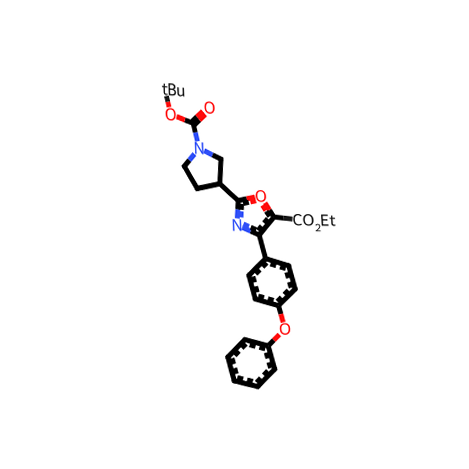 CCOC(=O)c1oc(C2CCN(C(=O)OC(C)(C)C)C2)nc1-c1ccc(Oc2ccccc2)cc1